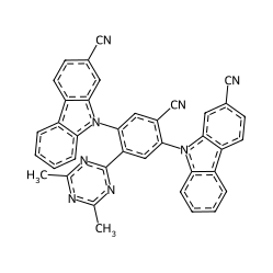 Cc1nc(C)nc(-c2cc(-n3c4ccccc4c4ccc(C#N)cc43)c(C#N)cc2-n2c3ccccc3c3ccc(C#N)cc32)n1